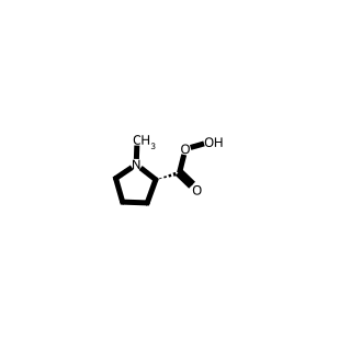 CN1CCC[C@H]1C(=O)OO